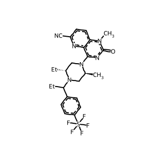 CCC(c1ccc(S(F)(F)(F)(F)F)cc1)N1C[C@H](C)N(c2nc(=O)n(C)c3ccc(C#N)nc23)C[C@H]1CC